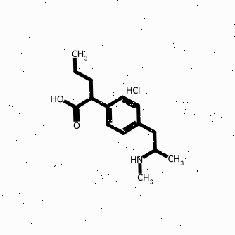 CCCC(C(=O)O)c1ccc(CC(C)NC)cc1.Cl